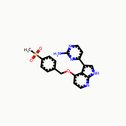 CS(=O)(=O)c1ccc(COc2ccnc3[nH]cc(-c4ccnc(N)n4)c23)cc1